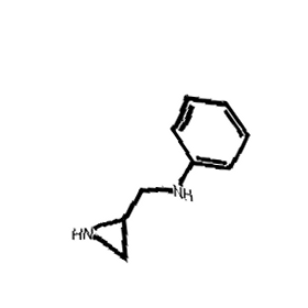 c1ccc(NCC2CN2)cc1